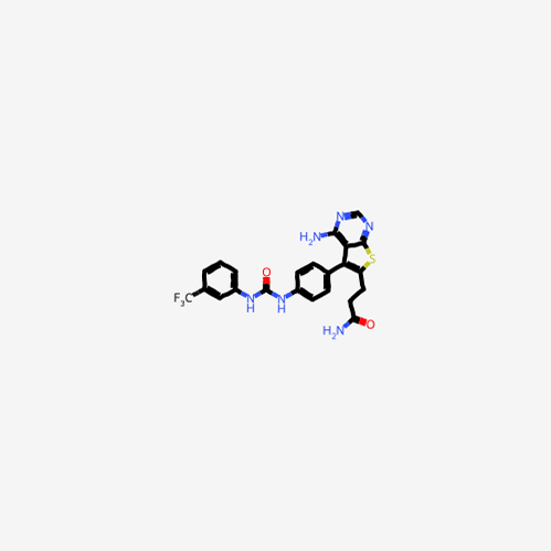 NC(=O)CCc1sc2ncnc(N)c2c1-c1ccc(NC(=O)Nc2cccc(C(F)(F)F)c2)cc1